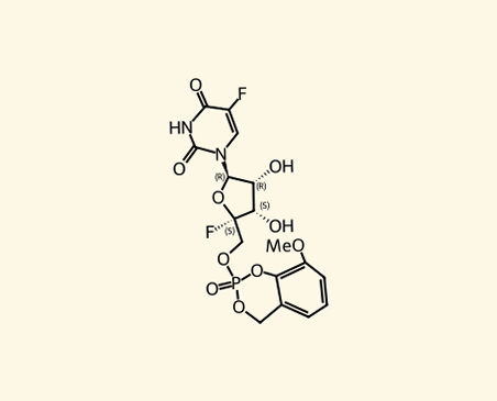 COc1cccc2c1OP(=O)(OC[C@@]1(F)O[C@@H](n3cc(F)c(=O)[nH]c3=O)[C@H](O)[C@@H]1O)OC2